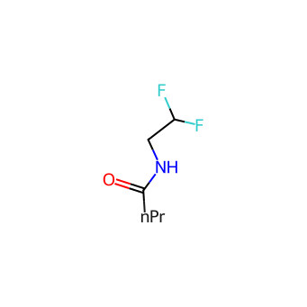 CCCC(=O)NCC(F)F